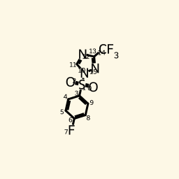 O=S(=O)(c1ccc(F)cc1)n1cnc(C(F)(F)F)n1